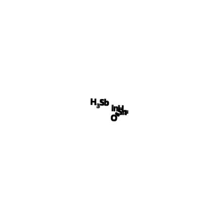 [InH3].[O]=[Sn].[SbH3]